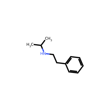 CC(C)NCCc1ccccc1